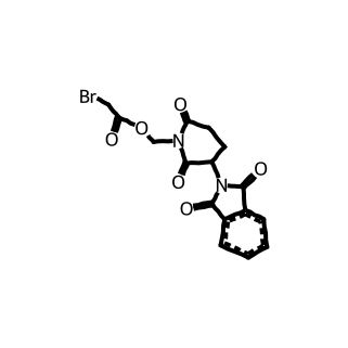 O=C(CBr)OCN1C(=O)CCC(N2C(=O)c3ccccc3C2=O)C1=O